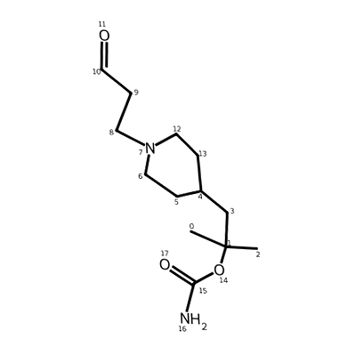 CC(C)(CC1CCN(CCC=O)CC1)OC(N)=O